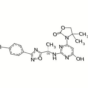 C[C@H](Nc1nc(O)cc(N2C(=O)OCC2(C)C)n1)c1nc(-c2ccc(Cl)cc2)no1